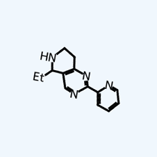 CCC1NCCc2nc(-c3ccccn3)ncc21